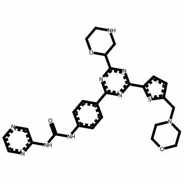 O=C(Nc1ccc(-c2nc(-c3ccc(CN4CCOCC4)s3)nc(C3CNCCO3)n2)cc1)Nc1cnccn1